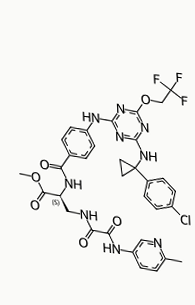 COC(=O)[C@H](CNC(=O)C(=O)Nc1ccc(C)nc1)NC(=O)c1ccc(Nc2nc(NC3(c4ccc(Cl)cc4)CC3)nc(OCC(F)(F)F)n2)cc1